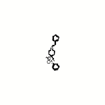 COC1(C[S+]([O-])c2ccccc2)CCN(CCc2ccccc2)CC1